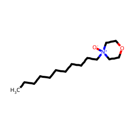 CCCCCCCCCCC[N+]1([O-])CCOCC1